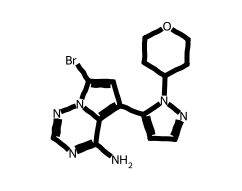 Nc1ncnn2c(Br)cc(-c3ccnn3C3CCOCC3)c12